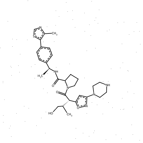 Cc1ncsc1-c1ccc([C@H](C)NC(=O)C2CCCN2C(=O)[C@H](c2cc(N3CCNCC3)no2)C(C)CO)cc1